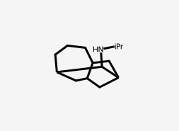 CC(C)NC1C2CCCC3CC1CC3C2